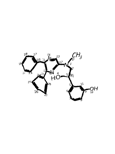 CN(C[C@H](O)c1cccc(O)c1)c1cnc(-c2ccccc2)c(-c2ccccc2)n1